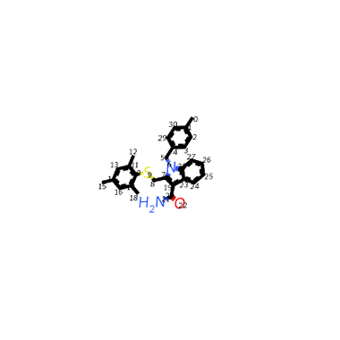 Cc1ccc(Cn2c(CSc3c(C)cc(C)cc3C)c(C(N)=O)c3ccccc32)cc1